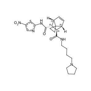 O=C(NCCCCN1CCCC1)[C@H]1[C@H](C(=O)Nc2ncc([N+](=O)[O-])s2)[C@@H]2C=C[C@H]1C21CC1